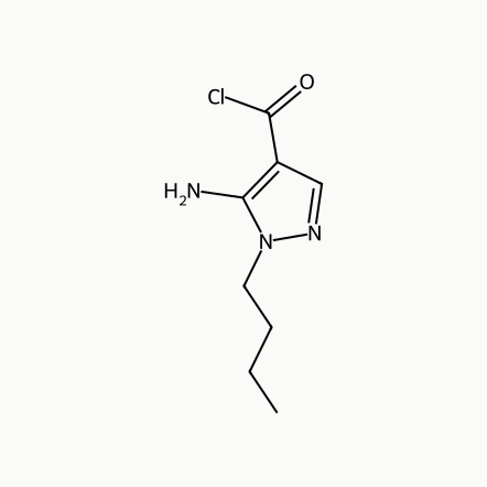 CCCCn1ncc(C(=O)Cl)c1N